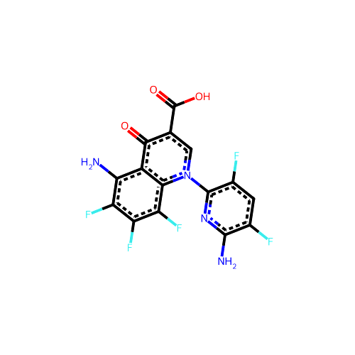 Nc1nc(-n2cc(C(=O)O)c(=O)c3c(N)c(F)c(F)c(F)c32)c(F)cc1F